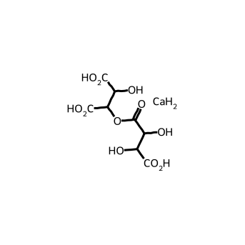 O=C(O)C(O)C(O)C(=O)OC(C(=O)O)C(O)C(=O)O.[CaH2]